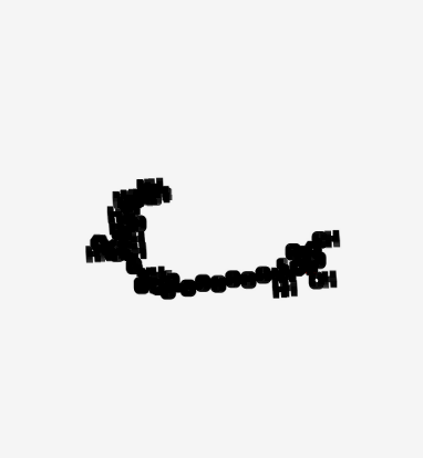 CC(=O)NCC(=O)N[C@@H](CCCNC(=N)N)C(=O)NCC(=O)N[C@@H](Cc1c[nH]c2ccccc12)C(=O)NCCOCCNC(=O)c1ccc(OC(=O)CCOCCOCCOCCOCCOCCOCCNC(=S)Nc2ccc3c(c2)C(=O)OC32c3ccc(O)cc3Oc3cc(O)ccc32)c(F)c1